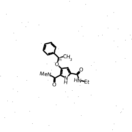 CCNC(=O)c1cc(O[C@H](C)c2ccccc2)c(C(=O)NC)[nH]1